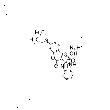 CCN(CC)c1ccc2cc(C3(S(=O)(=O)O)Nc4ccccc4N3)c(=O)oc2c1.[NaH]